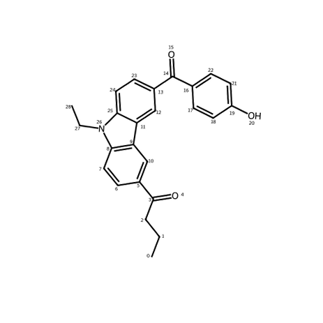 CCCC(=O)c1ccc2c(c1)c1cc(C(=O)c3ccc(O)cc3)ccc1n2CC